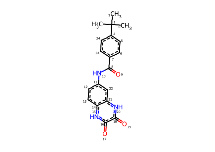 CC(C)(C)c1ccc(C(=O)Nc2ccc3[nH]c(=O)c(=O)[nH]c3c2)cc1